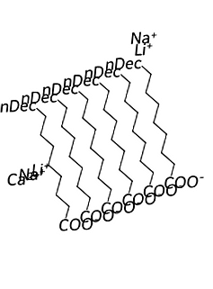 CCCCCCCCCCCCCCCCCC(=O)[O-].CCCCCCCCCCCCCCCCCC(=O)[O-].CCCCCCCCCCCCCCCCCC(=O)[O-].CCCCCCCCCCCCCCCCCC(=O)[O-].CCCCCCCCCCCCCCCCCC(=O)[O-].CCCCCCCCCCCCCCCCCC(=O)[O-].[Ca+2].[Li+].[Li+].[Na+].[Na+]